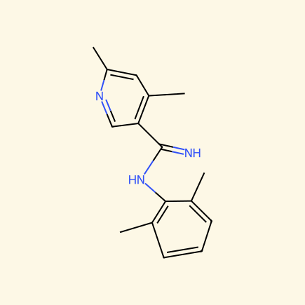 Cc1cc(C)c(C(=N)Nc2c(C)cccc2C)cn1